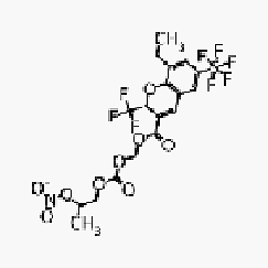 CCc1cc(S(F)(F)(F)(F)F)cc2c1O[C@H](C(F)(F)F)C(C(=O)OCOC(=O)OCC(C)O[N+](=O)[O-])=C2